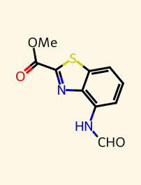 COC(=O)c1nc2c(NC=O)cccc2s1